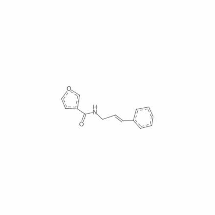 O=C(NCC=Cc1ccccc1)c1ccoc1